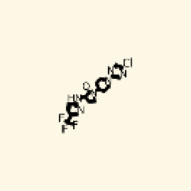 O=C1C(Nc2ccc(C(F)(F)F)cn2)CCN1C1CCN(c2cnc(Cl)cn2)CC1